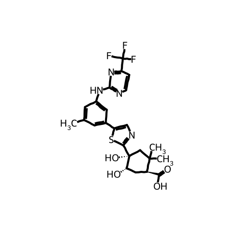 Cc1cc(Nc2nccc(C(F)(F)F)n2)cc(-c2cnc([C@@]3(O)CC(C)(C)[C@@H](C(=O)O)C[C@@H]3O)s2)c1